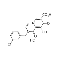 Cl.O=C(O)c1cn2ccn(Cc3cccc(Cl)c3)c(=O)c2c(O)c1=O